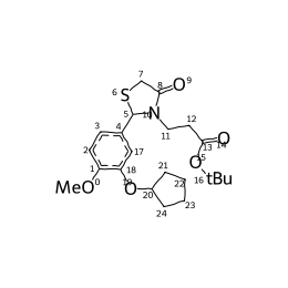 COc1ccc(C2SCC(=O)N2CCC(=O)OC(C)(C)C)cc1OC1CCCC1